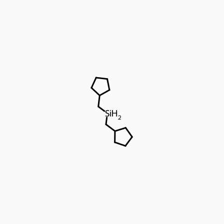 C1CCC(C[SiH2]CC2CCCC2)C1